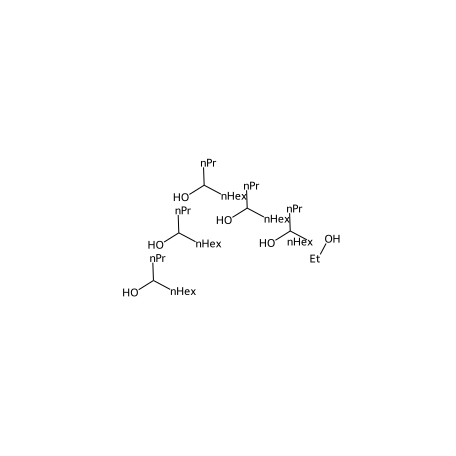 CCCCCCC(O)CCC.CCCCCCC(O)CCC.CCCCCCC(O)CCC.CCCCCCC(O)CCC.CCCCCCC(O)CCC.CCO